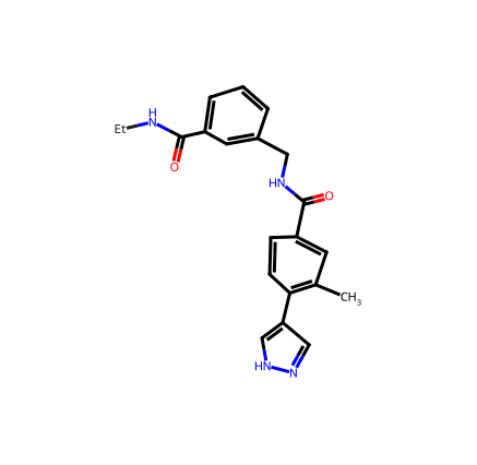 CCNC(=O)c1cccc(CNC(=O)c2ccc(-c3cn[nH]c3)c(C)c2)c1